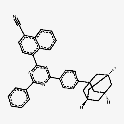 N#Cc1ccc(-c2nc(-c3ccccc3)nc(-c3ccc(C45C[C@H]6C[C@H](C4)C[C@@H](C5)C6)cc3)n2)c2ccccc12